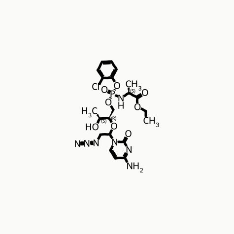 CCOC(=O)[C@H](C)NP(=O)(OC[C@@H](OC(CN=[N+]=[N-])n1ccc(N)nc1=O)[C@H](C)O)Oc1ccccc1Cl